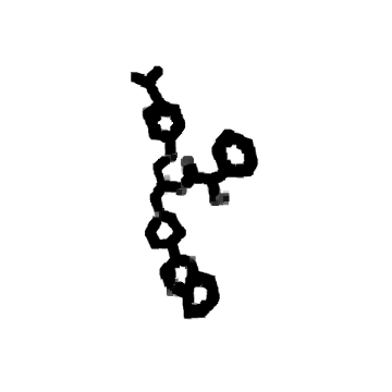 CC(C)c1ccc(OC[C@H](CN2CCC(c3cnc4ccccc4n3)CC2)OC(=O)C(O)c2ccccc2)cc1